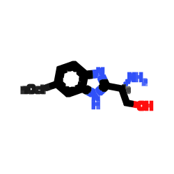 CCCCCCCCc1ccc2nc([C@H](N)CO)[nH]c2c1